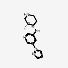 F[C@@H]1CNCC[C@@H]1Nc1cncc(-n2cccn2)c1